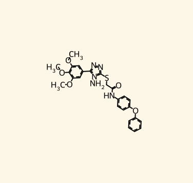 COc1cc(-c2nnc(SCC(=O)Nc3ccc(Oc4ccccc4)cc3)n2N)cc(OC)c1OC